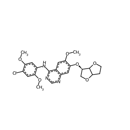 COc1cc(Nc2ncnc3cc(O[C@@H]4COC5CCOC54)c(OC)cc23)c(OC)cc1Cl